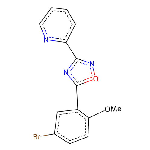 COc1ccc(Br)cc1-c1nc(-c2ccccn2)no1